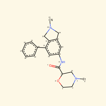 CCN1CCOC(C(=O)Nc2cc3c(c(-c4ccccc4)c2)CN(C#N)C3)C1